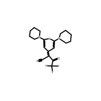 N#CC(C(=O)C(F)(F)F)=C1C=C(N2CCCCC2)SC(N2CCCCC2)=C1